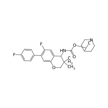 CC1(C)COc2cc(-c3ccc(F)cc3)c(F)cc2C1NC(=O)OC1CN2CCC1CC2